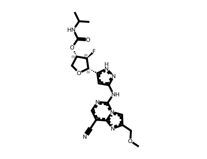 COCc1cn2c(Nc3cc([C@@H]4OC[C@H](OC(=O)NC(C)C)[C@H]4F)[nH]n3)ncc(C#N)c2n1